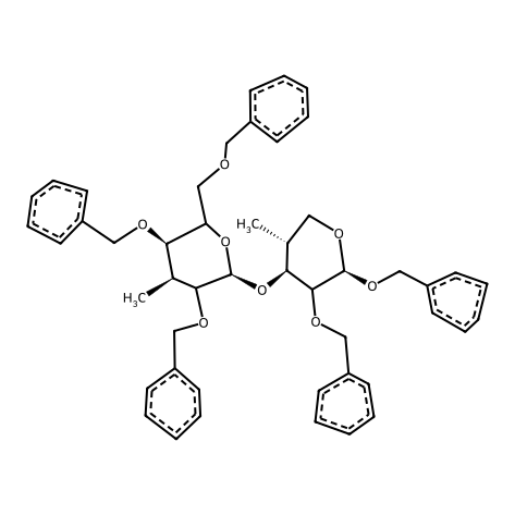 C[C@@H]1CO[C@@H](OCc2ccccc2)C(OCc2ccccc2)[C@H]1O[C@@H]1OC(COCc2ccccc2)[C@H](OCc2ccccc2)[C@H](C)C1OCc1ccccc1